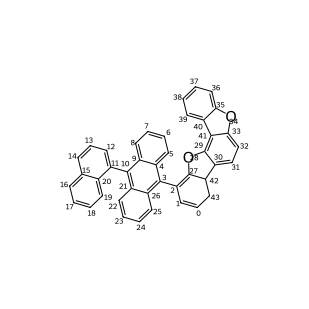 C1=CC(c2c3ccccc3c(-c3cccc4ccccc34)c3ccccc23)=C2Oc3c(ccc4oc5ccccc5c34)C2C1